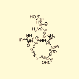 CC(C)C(N)C(=O)NC1CSSCC/C=C/C(CC=O)OC(=O)C(C(C)C)NC(=O)C(C(C)SCC(N)C(=O)NCC(=O)O)NC1=O